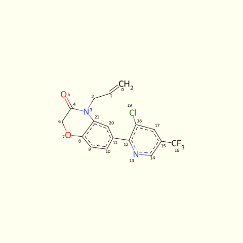 C=CCN1C(=O)COc2ccc(-c3ncc(C(F)(F)F)cc3Cl)cc21